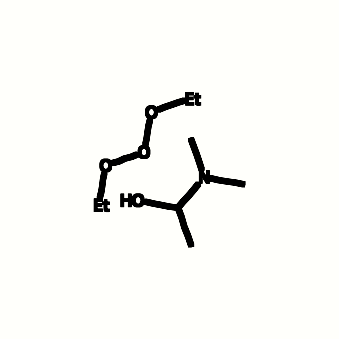 CC(O)N(C)C.CCOOOCC